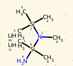 CN([Si](C)(C)C)[Si](C)(C)N.[LiH].[LiH]